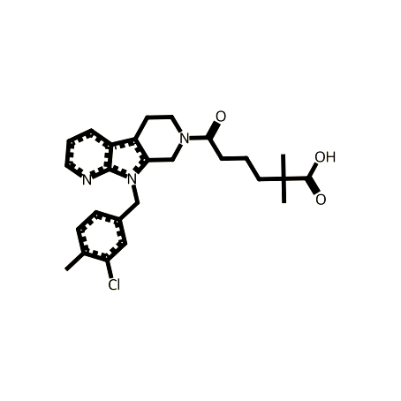 Cc1ccc(Cn2c3c(c4cccnc42)CCN(C(=O)CCCC(C)(C)C(=O)O)C3)cc1Cl